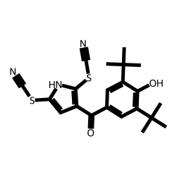 CC(C)(C)c1cc(C(=O)c2cc(SC#N)[nH]c2SC#N)cc(C(C)(C)C)c1O